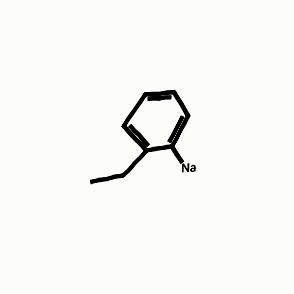 CCc1cccc[c]1[Na]